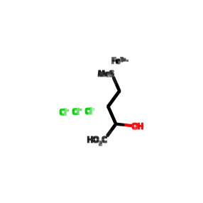 CSCCC(O)C(=O)O.[Cl-].[Cl-].[Cl-].[Fe+3]